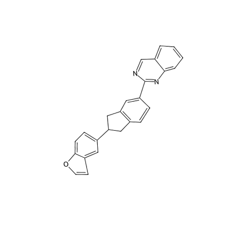 c1ccc2nc(-c3ccc4c(c3)CC(c3ccc5occc5c3)C4)ncc2c1